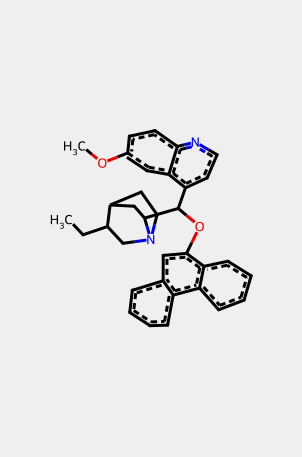 CCC1CN2CCC1CC2C(Oc1cc2ccccc2c2ccccc12)c1ccnc2ccc(OC)cc12